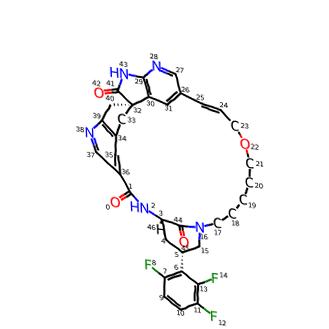 O=C1N[C@H]2C[C@@H](c3c(F)ccc(F)c3F)CN(CCCCCOC/C=C/c3cnc4c(c3)[C@@]3(Cc5cc1cnc5C3)C(=O)N4)C2=O